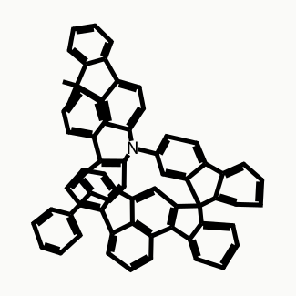 CC1(C)c2ccccc2-c2ccc(N(c3ccc4c(c3)C3(c5ccccc5-4)c4ccccc4-c4c3cc3c5c(cccc45)-c4ccccc4-3)c3ccc(-c4ccccc4)cc3-c3ccccc3)cc21